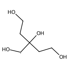 O[CH]C(O)(CCO)CCO